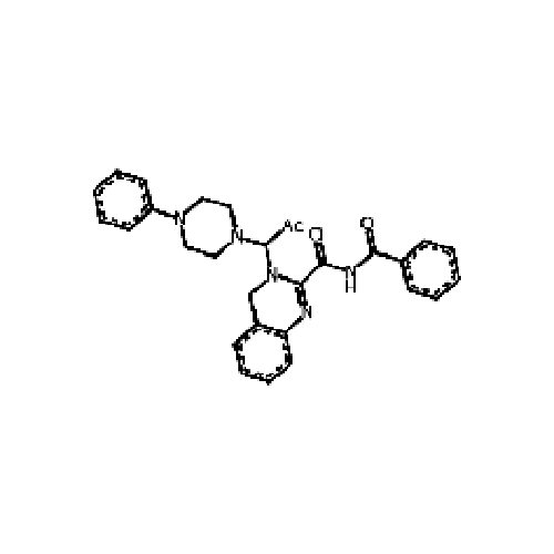 CC(=O)C(N1CCN(c2ccccc2)CC1)N1Cc2ccccc2N=C1C(=O)NC(=O)c1ccccc1